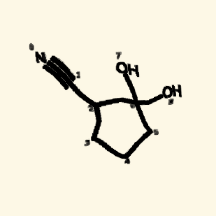 N#CC1CCCC1(O)O